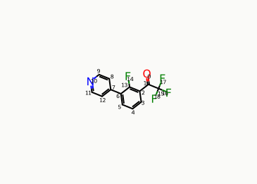 O=C(c1cccc(-c2ccncc2)c1F)C(F)(F)F